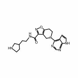 O=C(NCCC1CCNC1)c1noc2c1CN(c1ncnc3[nH]ccc13)CC2